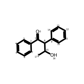 O=C(c1ccccc1)C(c1ccccc1)C(O)I